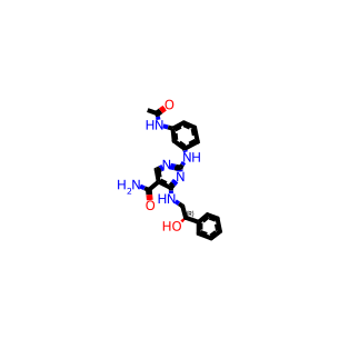 CC(=O)Nc1cccc(Nc2ncc(C(N)=O)c(NC[C@H](O)c3ccccc3)n2)c1